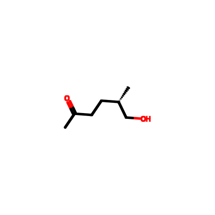 CC(=O)CC[C@H](C)CO